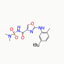 Cc1ccc(C(C)(C)C)cc1Nc1nc(C(=O)NS(=O)(=O)N(C)C)co1